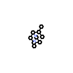 c1ccc(-c2cc(-c3ccccc3)cc(-c3cccc(-c4cccc(-c5cc6ccccc6c(-c6ccccc6-c6ccncc6)n5)c4)c3)c2)cc1